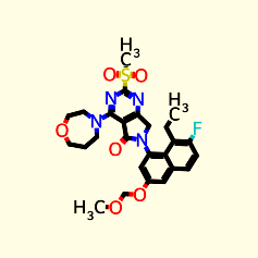 CCc1c(F)ccc2cc(OCOC)cc(N3Cc4nc(S(C)(=O)=O)nc(N5CCCOCC5)c4C3=O)c12